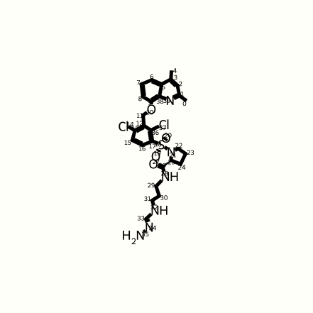 Cc1cc(C)c2cccc(OCc3c(Cl)ccc(S(=O)(=O)N4CCC[C@H]4C(=O)NCCCNC=NN)c3Cl)c2n1